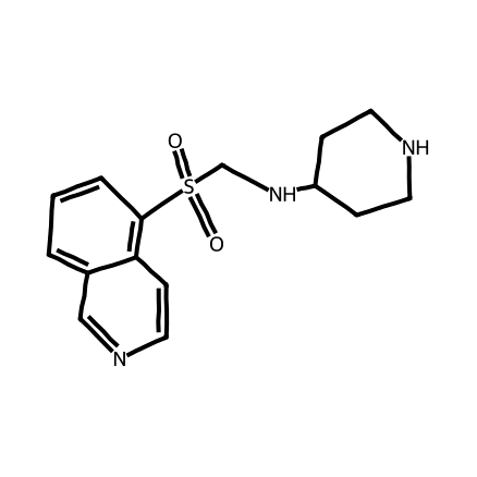 O=S(=O)(CNC1CCNCC1)c1cccc2cnccc12